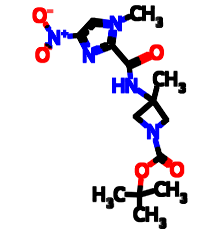 Cn1cc([N+](=O)[O-])nc1C(=O)NC1(C)CN(C(=O)OC(C)(C)C)C1